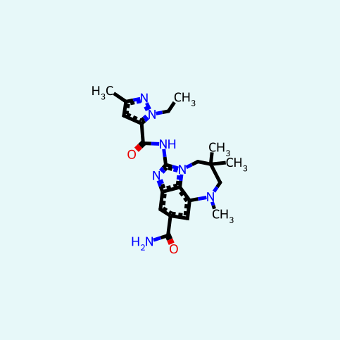 CCn1nc(C)cc1C(=O)Nc1nc2cc(C(N)=O)cc3c2n1CC(C)(C)CN3C